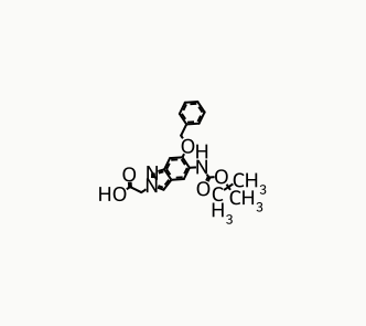 CC(C)(C)OC(=O)Nc1cc2cn(CC(=O)O)nc2cc1OCc1ccccc1